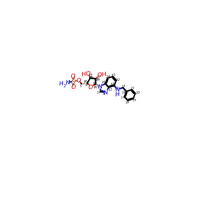 NS(=O)(=O)OC[C@H]1O[C@@H](n2cnc3c(NCc4ccccc4)cccc32)[C@H](O)[C@@H]1O